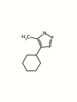 CC1=C(C2CCCCC2)P=P[N]1